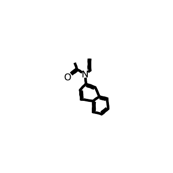 C=CN(C(C)=O)c1ccc2ccccc2c1